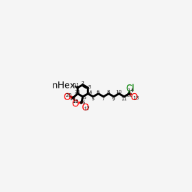 CCCCCCC1C=CC(CCCCCCCC(=O)Cl)C2C(=O)OC(=O)C12